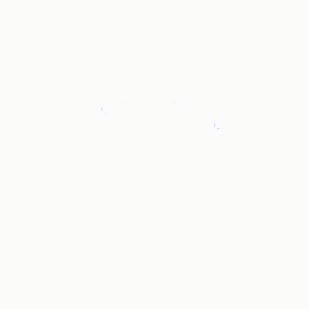 Clc1ncc(C#CSI)c(-c2c[nH]c3ccccc23)n1